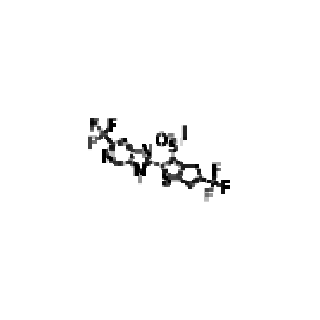 CC[S+]([O-])c1c(-c2nc3cc(C(F)(F)F)ncc3n2C)sc2c1CC(C(F)(F)F)=C2